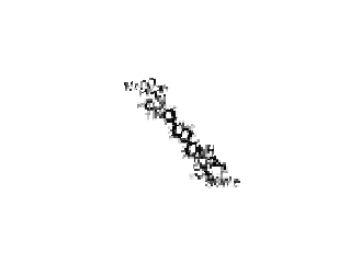 COC(=O)N[C@H](C(=O)N1C[C@@H](C)C[C@H]1c1nc2ccc(-c3ccc4cc(-c5ccc6nc([C@@H]7CC8C(C)C8N7C(=O)[C@@H](NC(=O)OC)C(C)C)[nH]c6c5)ccc4n3)cc2[nH]1)C(C)C